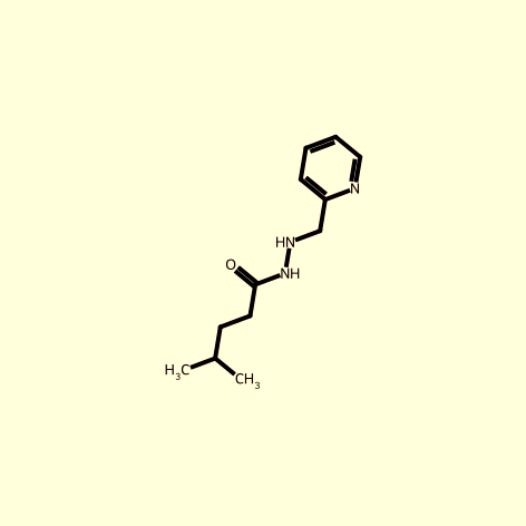 CC(C)CCC(=O)NNCc1ccccn1